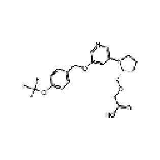 O=C(O)COC[C@H]1CCCN1c1cncc(OCc2ccc(OC(F)(F)F)cc2)c1